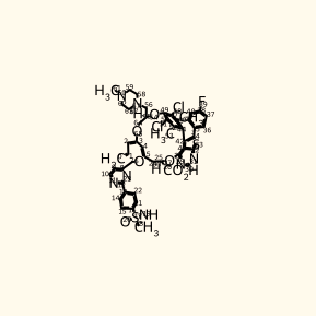 C=C/C=C1\C=C(/OCc2ccnc(-c3ccc(S(C)(=N)=O)cc3)n2)C[C@H](C(=O)O)Oc2ncnc3sc(-c4ccc(F)cc4)c(c23)-c2c(C)c(Cl)c(c(Cl)c2C)O[C@H](CN2CCN(C)CC2)CO1